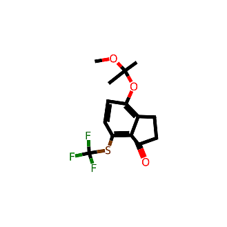 COC(C)(C)Oc1ccc(SC(F)(F)F)c2c1CCC2=O